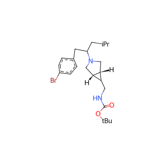 CC(C)CC(Cc1ccc(Br)cc1)N1C[C@@H]2C(CNC(=O)OC(C)(C)C)[C@@H]2C1